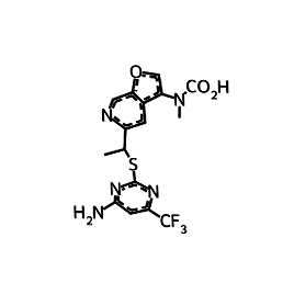 CC(Sc1nc(N)cc(C(F)(F)F)n1)c1cc2c(N(C)C(=O)O)coc2cn1